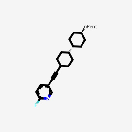 CCCCC[C@H]1CC[C@H](C2CCC(C#Cc3ccc(F)nc3)CC2)CC1